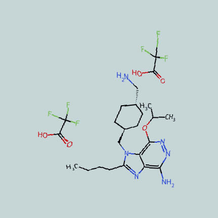 CCCCc1nc2c(N)nnc(OC(C)C)c2n1C[C@H]1CC[C@H](CN)CC1.O=C(O)C(F)(F)F.O=C(O)C(F)(F)F